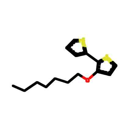 CCCCCCCOc1ccsc1-c1cccs1